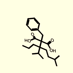 CCCC(CCC(C)C)(C(C)C)C(Cc1ccccc1)(C(=O)O)C(=O)O